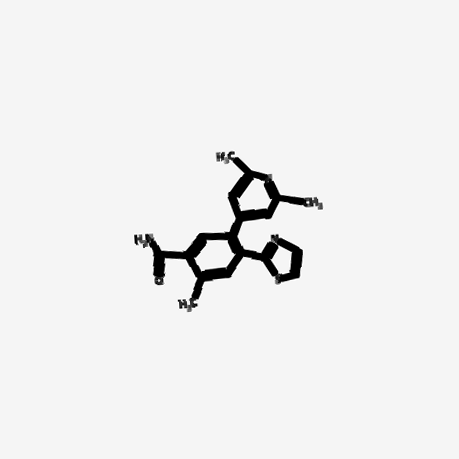 Cc1cc(-c2cc(C(N)=O)c(C)cc2-c2nccs2)cc(C)n1